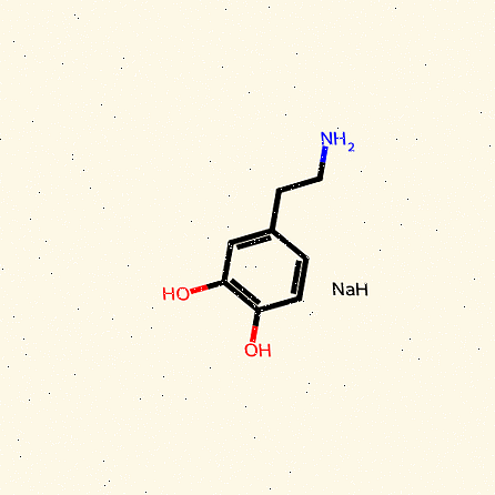 NCCc1ccc(O)c(O)c1.[NaH]